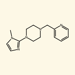 Cn1ccnc1N1CCN(Cc2ccccn2)CC1